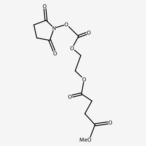 COC(=O)CCC(=O)OCCOC(=O)ON1C(=O)CCC1=O